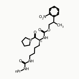 CCCNC(=O)NCCCC[C@H](NC(=O)OCC(C)c1ccccc1[N+](=O)[O-])C(=O)N1CCCC1